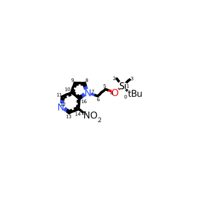 CC(C)(C)[Si](C)(C)OCCn1ccc2cncc([N+](=O)[O-])c21